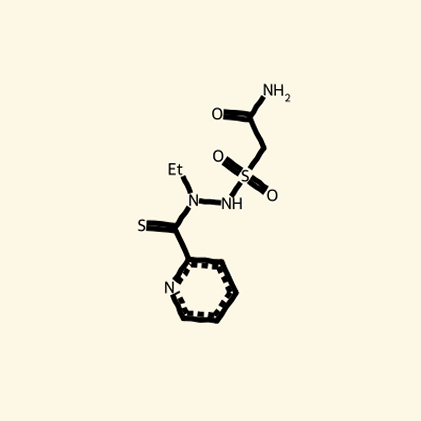 CCN(NS(=O)(=O)CC(N)=O)C(=S)c1ccccn1